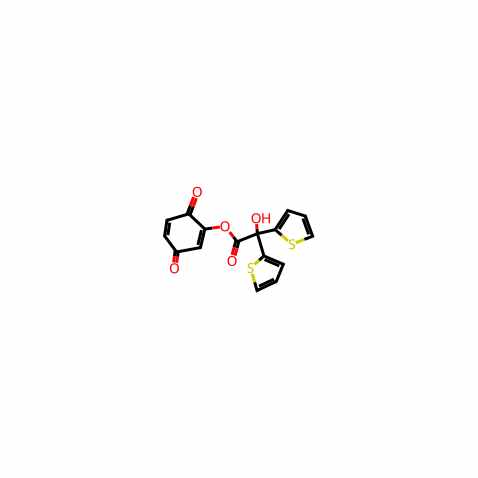 O=C1C=CC(=O)C(OC(=O)C(O)(c2cccs2)c2cccs2)=C1